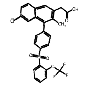 Cc1c(CC(=O)O)cc2ccc(Cl)cc2c1-c1ccc(S(=O)(=O)c2ccccc2OC(F)(F)F)cc1